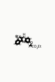 CCOC(=O)C(C)Oc1ccc(Nc2c[n+]([O-])c3ccccc3c2[N+](=O)[O-])cc1